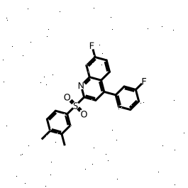 Cc1ccc(S(=O)(=O)c2cc(-c3cccc(F)c3)c3ccc(F)cc3n2)cc1C